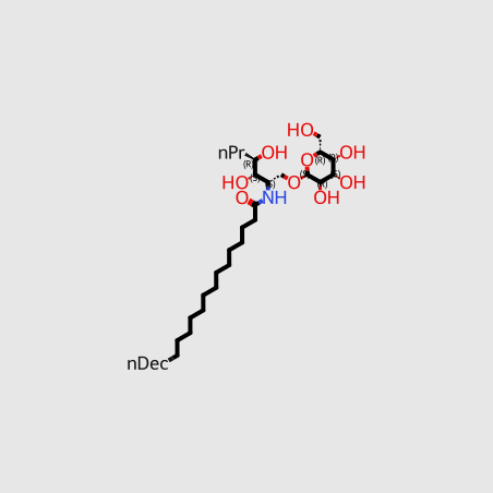 CCCCCCCCCCCCCCCCCCCCCCCC(=O)N[C@@H](CO[C@H]1O[C@H](CO)[C@H](O)[C@H](O)[C@H]1O)[C@H](O)[C@H](O)CCC